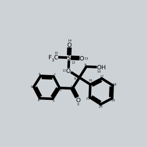 O=C(c1ccccc1)C(CO)(OS(=O)(=O)C(F)(F)F)c1ccccc1